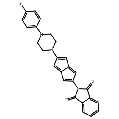 O=C1c2ccccc2C(=O)N1C1=CC2=CC(N3CCN(c4ccc(F)cc4)CC3)=CC2=C1